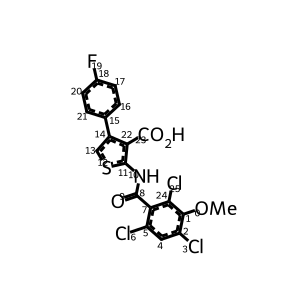 COc1c(Cl)cc(Cl)c(C(=O)Nc2scc(-c3ccc(F)cc3)c2C(=O)O)c1Cl